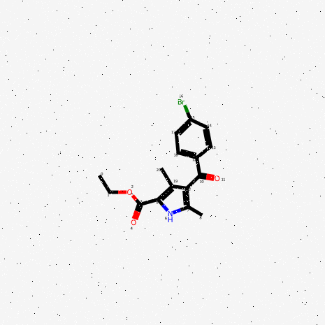 CCOC(=O)c1[nH]c(C)c(C(=O)c2ccc(Br)cc2)c1C